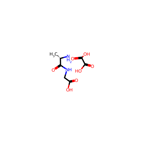 C[C@H](N)C(=O)NCC(=O)O.O=C(O)C(=O)O